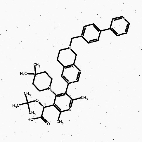 Cc1nc(C)c([C@H](OC(C)(C)C)C(=O)O)c(N2CCC(C)(C)CC2)c1-c1ccc2c(c1)CCN(Cc1ccc(-c3ccccc3)cc1)C2